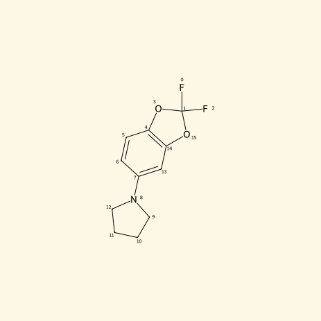 FC1(F)Oc2ccc(N3CCCC3)cc2O1